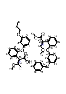 CCCOc1cccc(Oc2ccccc2/C(C(=O)O)=C(/C)OC)c1.CO/C=C(/C(=O)OC)c1ccccc1Oc1cc(Oc2ccccc2)ccn1